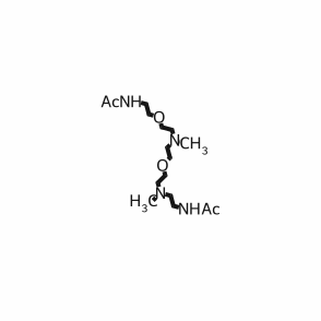 CC(=O)NCCOCCN(C)CCOCCN(C)CCNC(C)=O